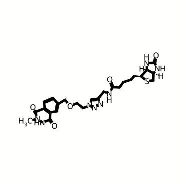 Cn1[nH]c(=O)c2cc(COCCn3cc(CNC(=O)CCCC[C@@H]4SC[C@@H]5NC(=O)N[C@@H]54)nn3)ccc2c1=O